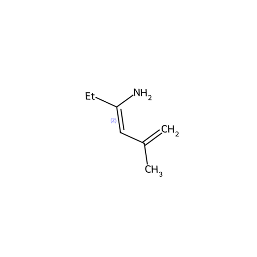 C=C(C)/C=C(\N)CC